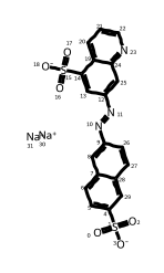 O=S(=O)([O-])c1ccc2cc(N=Nc3cc(S(=O)(=O)[O-])c4cccnc4c3)ccc2c1.[Na+].[Na+]